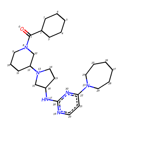 O=C(C1CCCCC1)N1CCCC(N2CCC(Nc3nccc(N4CCCCCC4)n3)C2)C1